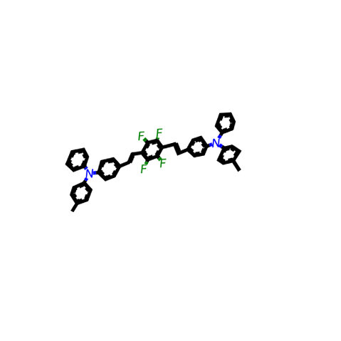 Cc1ccc(N(c2ccccc2)c2ccc(C=Cc3c(F)c(F)c(C=Cc4ccc(N(c5ccccc5)c5ccc(C)cc5)cc4)c(F)c3F)cc2)cc1